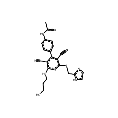 CC(=O)Nc1ccc(-c2c(C#N)c(NCCCO)nc(SCc3ncc[nH]3)c2C#N)cc1